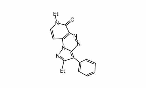 CCc1nn2c(nnc3c(=O)n(CC)ccc32)c1-c1ccccc1